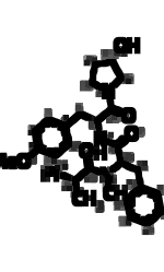 COc1ccc(C[C@H](NC(=O)C(Cc2ccccc2)N(C)C(=O)[C@@H](C)C(C)C)C(=O)N2CC[C@H](O)C2)cc1